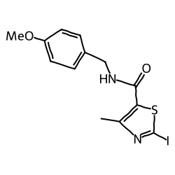 COc1ccc(CNC(=O)c2sc(I)nc2C)cc1